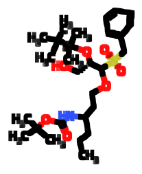 CCCC(CCOC([C@H](CO)O[Si](C)(C)C(C)(C)C)S(=O)(=O)Cc1ccccc1)NC(=O)OC(C)(C)C